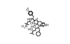 COc1ccc(C[C@H](NC(=O)CC(C)(C)N)C(=O)N(C)[C@@H](Cc2c[nH]cn2)C(=O)N[C@@H](CC2CCCCC2)C(O)CC(O)C(C)C)cc1